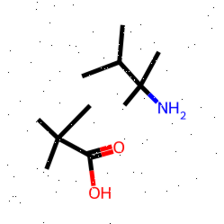 CC(C)(C)C(=O)O.CC(C)C(C)(C)N